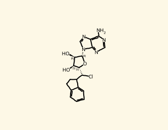 Nc1ncnc2c1ncn2[C@@H]1O[C@H](C(Cl)C2CCc3ccccc32)[C@@H](O)[C@H]1O